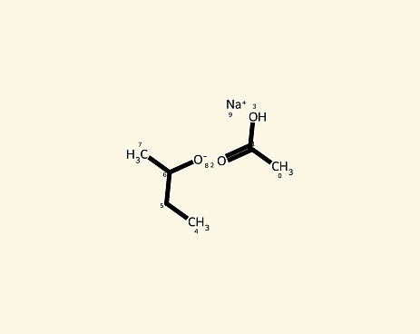 CC(=O)O.CCC(C)[O-].[Na+]